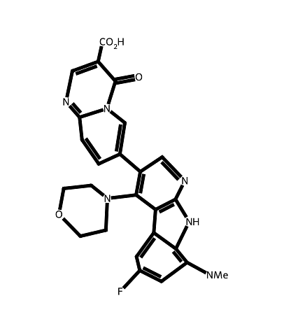 CNc1cc(F)cc2c1[nH]c1ncc(-c3ccc4ncc(C(=O)O)c(=O)n4c3)c(N3CCOCC3)c12